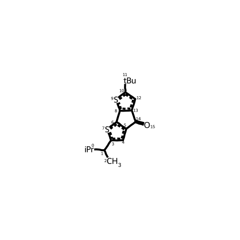 CC(C)C(C)c1cc2c(s1)-c1sc(C(C)(C)C)cc1C2=O